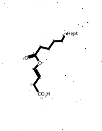 CCCCCCCCCCCC(=O)OC=CCC(=O)O